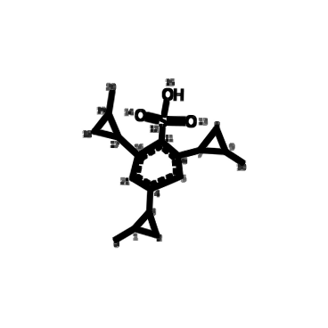 CC1CC1c1cc(C2CC2C)c(S(=O)(=O)O)c(C2CC2C)c1